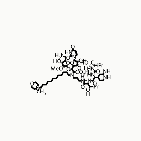 CO[C@@H]1C(O[C@H](C(C(=O)O)N(CCCCCCCCCCCC[N+]2(C)CCOCC2)CCCNC(=O)C(NC(=O)C(NC(=O)NC(C(=O)O)C(C)C)C2CCNC(=N)C2)C(O)C(C)C)[C@H]2O[C@@H](n3ccc(=O)[nH]c3=O)[C@H](O)[C@H]2O)O[C@H](CN)[C@@H]1O